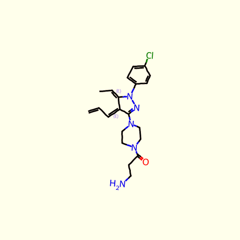 C=C/C=c1/c(N2CCN(C(=O)CCN)CC2)nn(-c2ccc(Cl)cc2)/c1=C/C